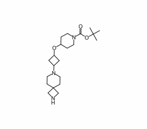 CC(C)(C)OC(=O)N1CCC(OC2CC(N3CCC4(CC3)CNC4)C2)CC1